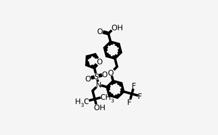 CC(C)(O)CN(c1ccc(C(F)(F)F)cc1OCc1ccc(C(=O)O)cc1)S(=O)(=O)c1ccco1